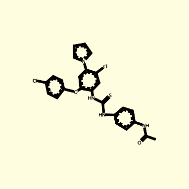 CC(=O)Nc1ccc(NC(=S)Nc2cc(Cl)c(-n3cccc3)cc2Oc2ccc(Cl)cc2)cc1